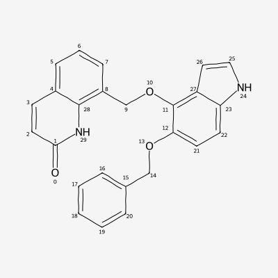 O=c1ccc2cccc(COc3c(OCc4ccccc4)ccc4[nH]ccc34)c2[nH]1